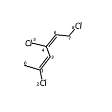 C/C(Cl)=C\C(Cl)=C/CCl